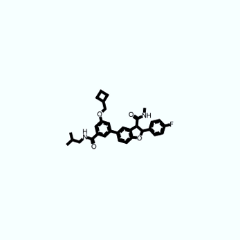 CNC(=O)C1c2cc(-c3cc(OCC4CCC4)cc(C(=O)NCC(C)C)c3)ccc2OC1c1ccc(F)cc1